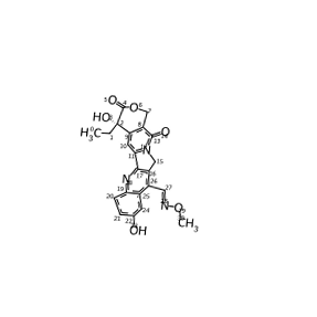 CC[C@@]1(O)C(=O)OCc2c1cc1n(c2=O)Cc2c-1nc1ccc(O)cc1c2C=NOC